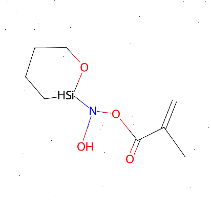 C=C(C)C(=O)ON(O)[SiH]1CCCCO1